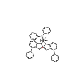 [CH3][Hf]([CH3])([CH]1C=Cc2c(-c3ccccc3)cccc21)([CH]1C=Cc2c(-c3ccccc3)cccc21)=[Si](c1ccccc1)c1ccccc1